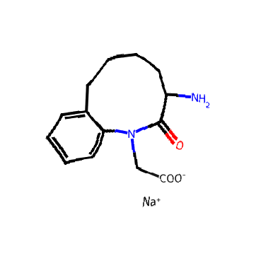 NC1CCCCc2ccccc2N(CC(=O)[O-])C1=O.[Na+]